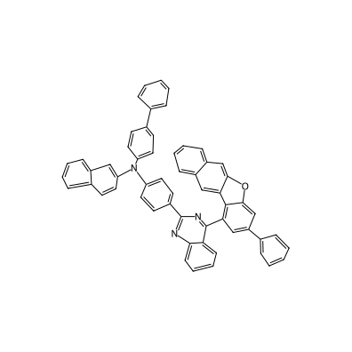 c1ccc(-c2ccc(N(c3ccc(-c4nc(-c5cc(-c6ccccc6)cc6oc7cc8ccccc8cc7c56)c5ccccc5n4)cc3)c3ccc4ccccc4c3)cc2)cc1